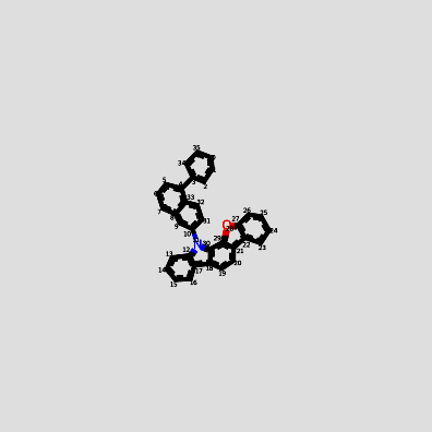 c1ccc(-c2cccc3cc(-n4c5ccccc5c5ccc6c7ccccc7oc6c54)ccc23)cc1